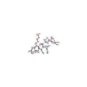 COCCCOc1cc(C(C)N(C(=O)[C@@H]2CCN(C(=O)OC(C)(C)C)C2)C2CC2)cc2occc12